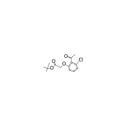 CC(=O)c1c(Cl)cccc1OCC(=O)OC(C)(C)C